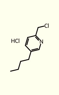 CCCCc1ccc(CCl)nc1.Cl